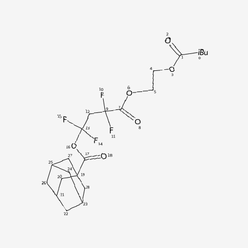 CCC(C)C(=O)OCCOC(=O)C(F)(F)CC(F)(F)OC(=O)C12CC3CC(CC(C3)C1)C2